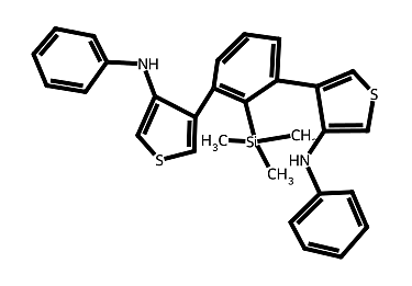 C[Si](C)(C)c1c(-c2cscc2Nc2ccccc2)cccc1-c1cscc1Nc1ccccc1